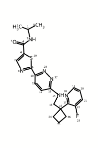 CC(C)NC(=O)c1cnc(-c2ccc(NCC3(c4ncccc4F)CCC3)nn2)s1